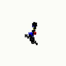 C/C(=N\NC(=O)CCSSC1=CCCC=N1)c1ccc(C)cc1